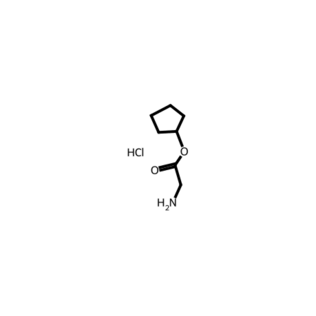 Cl.NCC(=O)OC1CCCC1